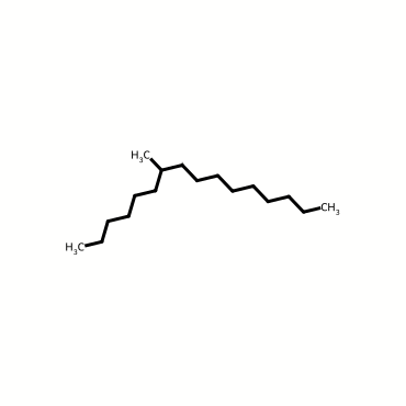 CCCCCCCC[CH]C(C)CCCCCC